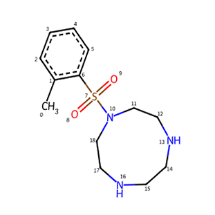 Cc1ccccc1S(=O)(=O)N1CCNCCNCC1